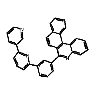 c1cncc(-c2cccc(-c3cccc(-c4nc5ccccc5c5c4ccc4ccccc45)c3)n2)c1